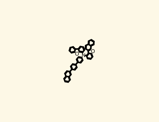 c1ccc2cc(-c3ccc(-c4ccc(N(c5cccc6c5oc5ccccc56)c5cccc6oc7c8ccccc8ccc7c56)cc4)cc3)ccc2c1